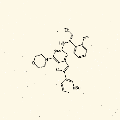 C/C=C\C(=C/CCCC)c1cc2nc(N/C(=C\CC)c3ccccc3CCC)nc(N3CCOCC3)c2o1